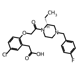 CC[C@@H]1CN(Cc2ccc(F)cc2)CCN1C(=O)COc1ccc(Cl)cc1CC(=O)O